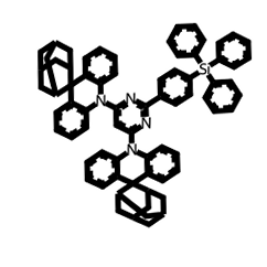 c1ccc([Si](c2ccccc2)(c2ccccc2)c2ccc(-c3nc(N4c5ccccc5C5(c6ccccc64)C4CC6CC(C4)CC5C6)cc(N4c5ccccc5C5(c6ccccc64)C4CC6CC(C4)CC5C6)n3)cc2)cc1